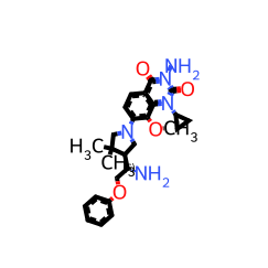 COc1c(N2CC([C@H](N)COc3ccccc3)C(C)(C)C2)ccc2c(=O)n(N)c(=O)n(C3CC3)c12